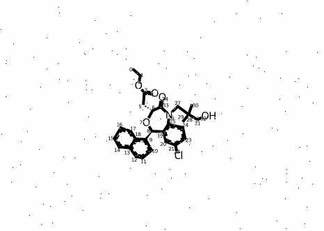 CCOC(=O)C[C@H]1O[C@H](c2cccc3ccccc23)c2cc(Cl)ccc2N(CC(C)(C)CO)C1=O